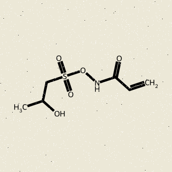 C=CC(=O)NOS(=O)(=O)CC(C)O